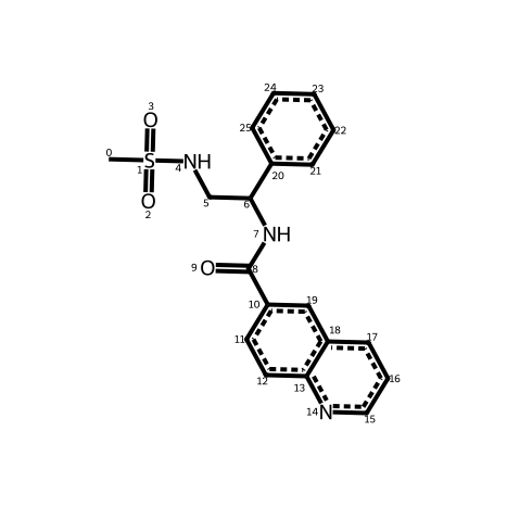 CS(=O)(=O)NCC(NC(=O)c1ccc2ncccc2c1)c1ccccc1